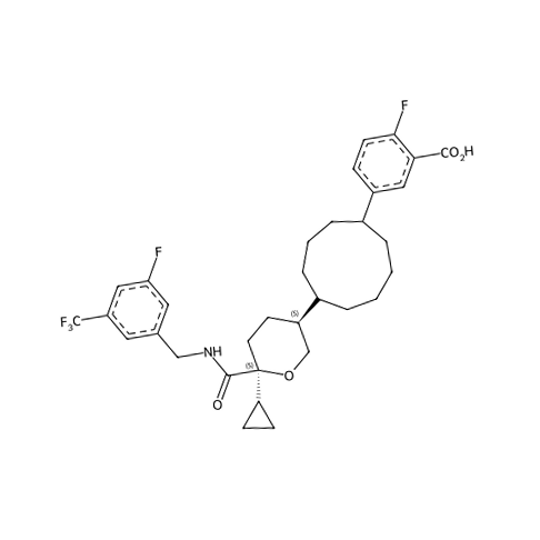 O=C(O)c1cc(C2CCCCC([C@@H]3CC[C@@](C(=O)NCc4cc(F)cc(C(F)(F)F)c4)(C4CC4)OC3)CCC2)ccc1F